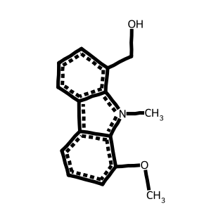 COc1cccc2c3cccc(CO)c3n(C)c12